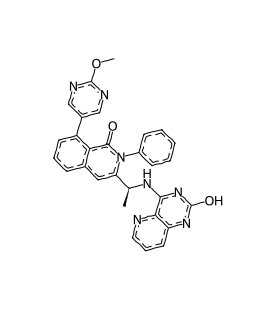 COc1ncc(-c2cccc3cc([C@H](C)Nc4nc(O)nc5cccnc45)n(-c4ccccc4)c(=O)c23)cn1